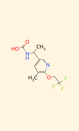 Cc1cc(C(C)NC(=O)O)cnc1OCC(F)(F)F